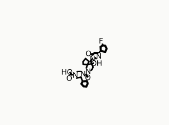 O=C(O)N1CCN(C(=O)N2CCC(O)(Cn3cnc(-c4cccc(F)c4)cc3=O)C3(CCCC3)C2)C(c2ccccc2)C1